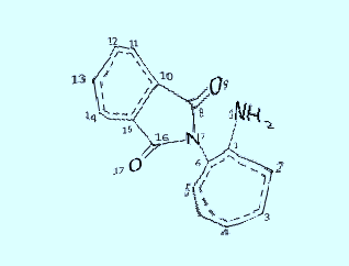 Nc1ccccc1N1C(=O)c2ccccc2C1=O